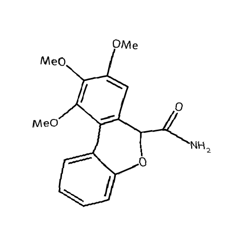 COc1cc2c(c(OC)c1OC)-c1ccccc1OC2C(N)=O